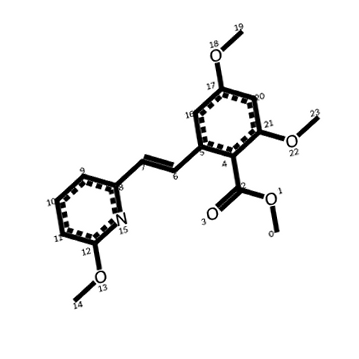 COC(=O)c1c(C=Cc2cccc(OC)n2)cc(OC)cc1OC